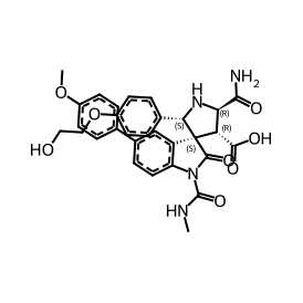 CNC(=O)N1C(=O)[C@@]2(c3cc(-c4ccc(OC)cc4)ccc31)[C@H](c1ccc(OCCO)cc1)N[C@@H](C(N)=O)[C@@H]2C(=O)O